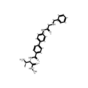 C[C@@H](N)[C@H](NC(=O)c1ccc(-c2ccc(NC(=O)CNCc3ccccc3)cc2)cc1)C(=O)NO